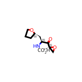 C[C@@]1(C(=O)[C@H](C[C@@H]2CCCO2)NC(=O)O)CO1